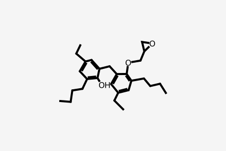 CCCCc1cc(CC)cc(Cc2cc(CC)cc(CCCC)c2OCC2CO2)c1O